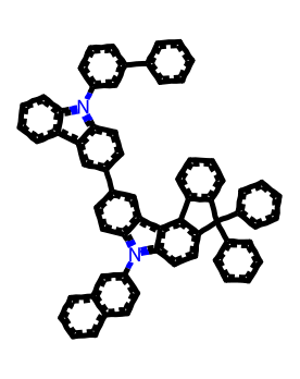 c1ccc(-c2cccc(-n3c4ccccc4c4cc(-c5ccc6c(c5)c5c7c(ccc5n6-c5ccc6ccccc6c5)C(c5ccccc5)(c5ccccc5)c5ccccc5-7)ccc43)c2)cc1